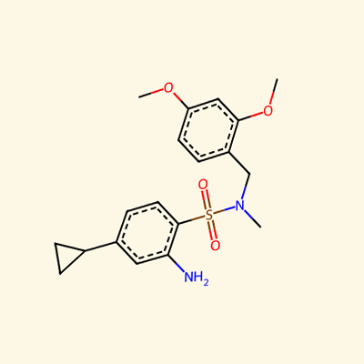 COc1ccc(CN(C)S(=O)(=O)c2ccc(C3CC3)cc2N)c(OC)c1